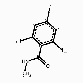 CNC(=O)c1c(I)cc(I)cc1I